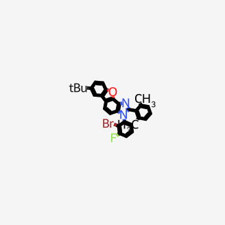 Cc1cccc(C)c1-c1nc2c3oc4ccc(C(C)(C)C)cc4c3ccc2n1-c1cccc(F)c1Br